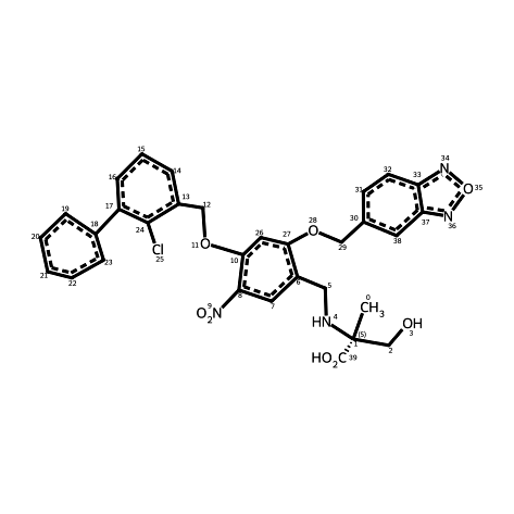 C[C@@](CO)(NCc1cc([N+](=O)[O-])c(OCc2cccc(-c3ccccc3)c2Cl)cc1OCc1ccc2nonc2c1)C(=O)O